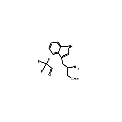 COC[C@H](N)Cc1c[nH]c2ccccc12.O=CC(F)(F)F